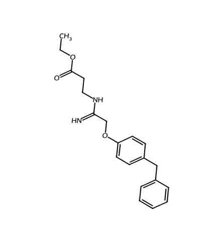 CCOC(=O)CCNC(=N)COc1ccc(Cc2ccccc2)cc1